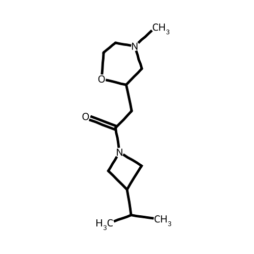 CC(C)C1CN(C(=O)CC2CN(C)CCO2)C1